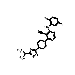 CC(C)c1noc(C2CCN(c3ncnc(Nc4cc(F)ccc4F)c3C#N)CC2)n1